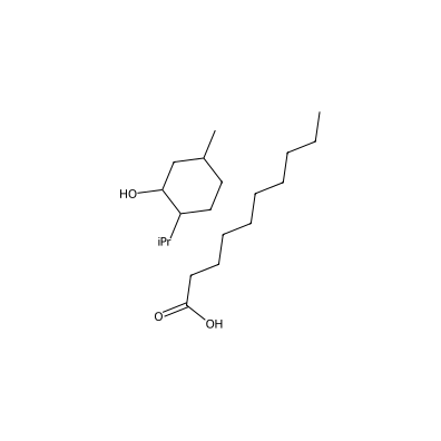 CC1CCC(C(C)C)C(O)C1.CCCCCCCCCC(=O)O